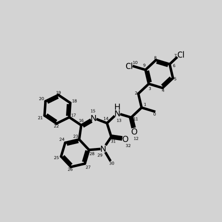 CC(Cc1ccc(Cl)cc1Cl)C(=O)NC1N=C(c2ccccc2)c2ccccc2N(C)C1=O